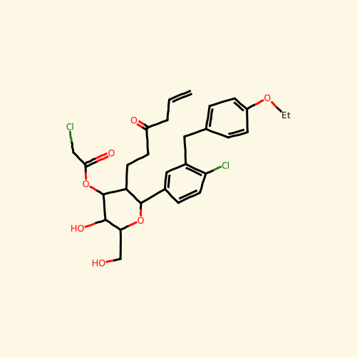 C=CCC(=O)CCC1C(c2ccc(Cl)c(Cc3ccc(OCC)cc3)c2)OC(CO)C(O)C1OC(=O)CCl